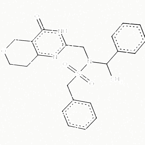 CC(c1ccccc1)N(Cc1nc2c(c(=O)[nH]1)COCC2)S(=O)(=O)Cc1ccccc1